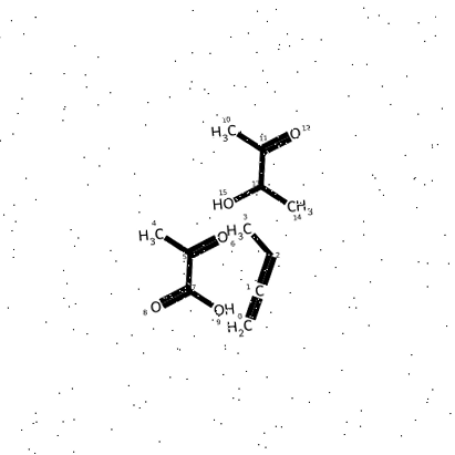 C=C=CC.CC(=O)C(=O)O.CC(=O)C(C)O